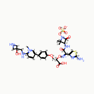 C[n+]1cc(-c2ccc(OC[C@H](O/N=C(\C(=O)NC3C(=O)N(OS(=O)(=O)[O-])C3(C)C)c3csc(N)n3)C(=O)O)cc2)ccc1NCC1(O)CNC1